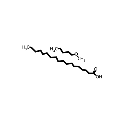 CCCCCCCCCCCCCCCCCC(=O)O.CCCCCOC